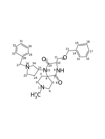 CN1CCC2(CC1)C(=O)NC(COCc1ccccc1)C(=O)N2C1CCN(Cc2ccccc2)C1